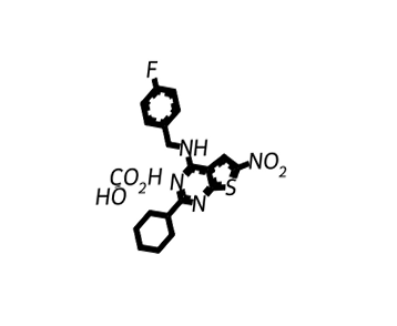 O=C(O)O.O=[N+]([O-])c1cc2c(NCc3ccc(F)cc3)nc(C3CCCCC3)nc2s1